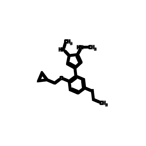 CCSc1ccc(OCC2CC2)c(C2=CC(NC)C(NC)=C2)c1